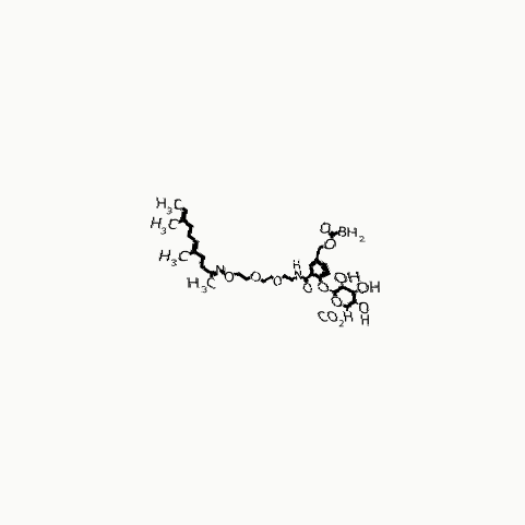 BC(=O)OCc1ccc(O[C@@H]2O[C@H](C(=O)O)[C@@H](O)[C@H](O)[C@H]2O)c(C(=O)NCCOCCOCCO/N=C(\C)CC/C(C)=C/CC/C(C)=C/C)c1